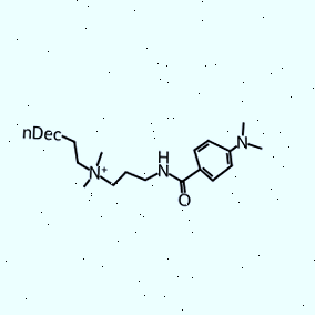 CCCCCCCCCCCC[N+](C)(C)CCCNC(=O)c1ccc(N(C)C)cc1